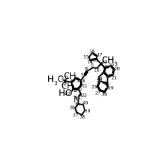 CC(C)(C)c1cc(C#CCCC(C)(C2=CCC=C2)c2cccc3c2Cc2ccccc2-3)cc(/C=N/C2CCCCC2)c1O